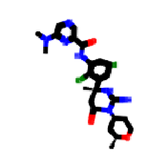 C[C@@H]1C[C@H](N2C(=N)N[C@](C)(c3cccc(NC(=O)c4cncc(N(C)C)n4)c3Cl)CC2=O)CCO1.Cl